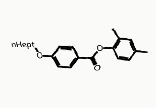 CCCCCCCOc1ccc(C(=O)Oc2ccc(C)cc2C)cc1